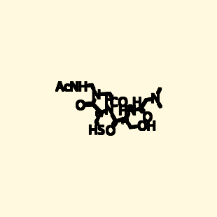 CC(=O)NCN(CC(=O)O)C(=O)[C@H](CS)NC(=O)[C@H](CO)NC(=O)CN(C)C